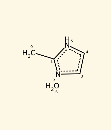 Cc1ncc[nH]1.O